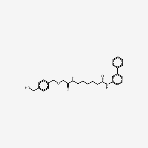 O=C(COCc1ccc(CO)cc1)NCCCCCC(=O)Nc1cccc(-c2ccccc2)c1